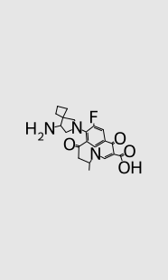 CC1CC(=O)c2c(N3CC(N)C4(CCC4)C3)c(F)cc3c(=O)c(C(=O)O)cn1c23